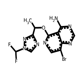 CC(Oc1ncc(Br)c2ncnc(N)c12)c1ncn(C(F)F)n1